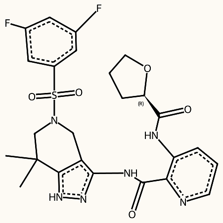 CC1(C)CN(S(=O)(=O)c2cc(F)cc(F)c2)Cc2c(NC(=O)c3ncccc3NC(=O)[C@H]3CCCO3)n[nH]c21